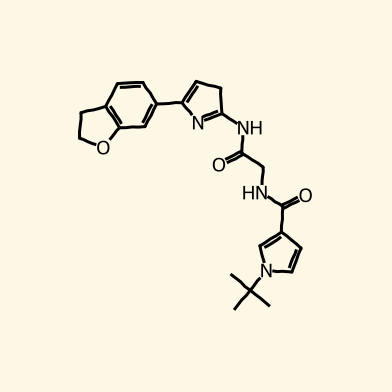 CC(C)(C)n1ccc(C(=O)NCC(=O)NC2=NC(c3ccc4c(c3)OCC4)=CC2)c1